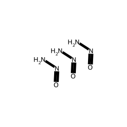 NN=O.NN=O.NN=O